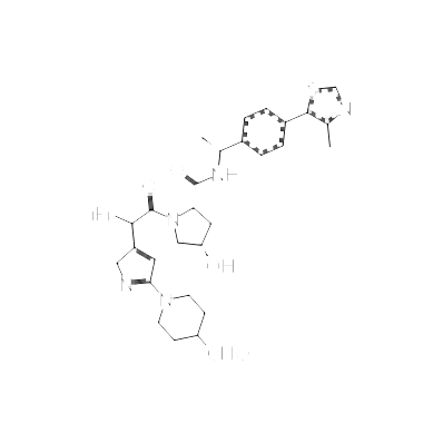 Cc1ncsc1-c1ccc([C@H](C)NC(=O)[C@@H]2C[C@@H](O)CN2C(=O)C(C2=CC(N3CCC(C=O)CC3)=NC2)C(C)C)cc1